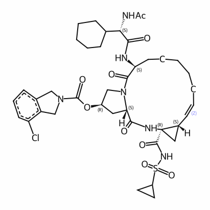 CC(=O)N[C@H](C(=O)N[C@H]1CCCCC/C=C\[C@@H]2C[C@@]2(C(=O)NS(=O)(=O)C2CC2)NC(=O)[C@@H]2C[C@@H](OC(=O)N3Cc4cccc(Cl)c4C3)CN2C1=O)C1CCCCC1